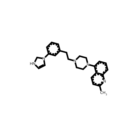 Cc1ccc2c(N3CCN(CCc4cccc(N5C=CNC5)c4)CC3)cccc2n1